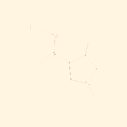 CNC(=O)C1CN(I)CC1I